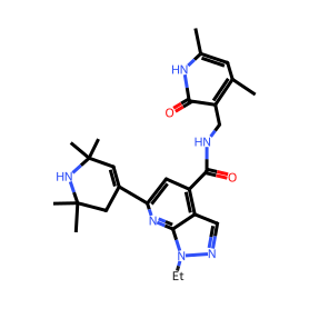 CCn1ncc2c(C(=O)NCc3c(C)cc(C)[nH]c3=O)cc(C3=CC(C)(C)NC(C)(C)C3)nc21